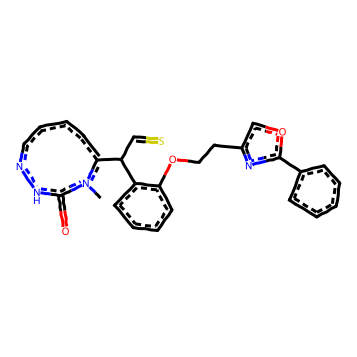 Cn1c(C(C=S)c2ccccc2OCCc2coc(-c3ccccc3)n2)ccccn[nH]c1=O